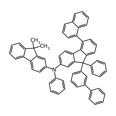 CC1(C)c2ccccc2-c2ccc(N(c3ccccc3)c3ccc4c(c3)C(c3ccccc3)(c3cccc(-c5ccccc5)c3)c3cccc(-c5cccc6ccccc56)c3-4)cc21